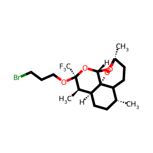 C[C@@H]1CC[C@H]2[C@@H](C)[C@](OCCCBr)(C(F)(F)F)O[C@@H]3O[C@]4(C)CCC1[C@]32OO4